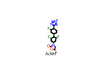 CC(=O)NC[C@H]1CN(c2cc(F)c(-c3ccc(-c4nnn(C)n4)c(F)c3)c(F)c2)C(=O)O1